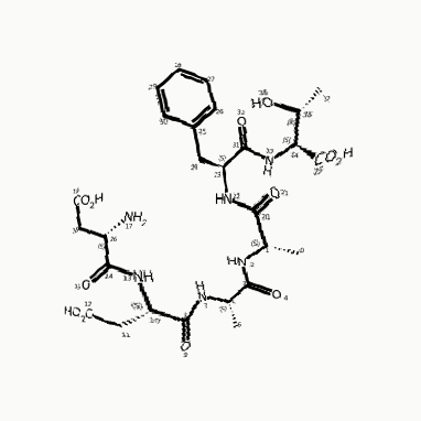 C[C@H](NC(=O)[C@H](C)NC(=O)[C@H](CC(=O)O)NC(=O)[C@@H](N)CC(=O)O)C(=O)N[C@@H](Cc1ccccc1)C(=O)N[C@H](C(=O)O)[C@@H](C)O